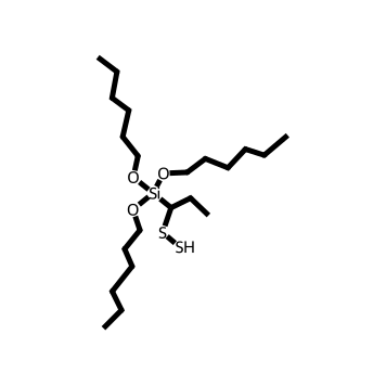 CCCCCCO[Si](OCCCCCC)(OCCCCCC)C(CC)SS